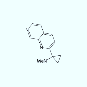 CNC1(c2ccc3ccncc3n2)CC1